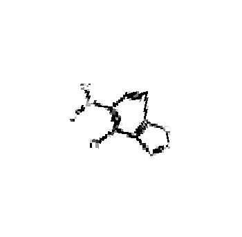 O=[N+]([O-])c1ccc2onnc2c1Cl